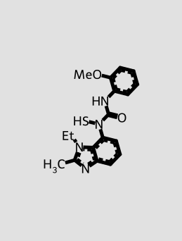 CCn1c(C)nc2cccc(N(S)C(=O)Nc3ccccc3OC)c21